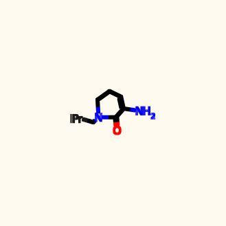 CC(C)CN1CCC=C(N)C1=O